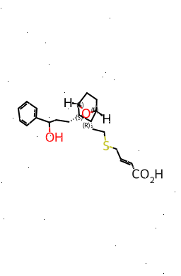 O=C(O)C=CCSCC[C@@H]1[C@H](CCC(O)c2ccccc2)[C@@H]2CC[C@H]1O2